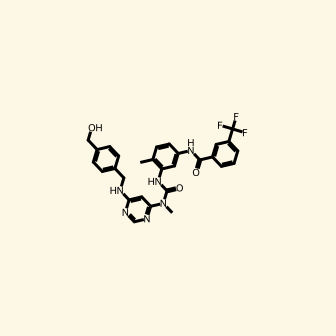 Cc1ccc(NC(=O)c2cccc(C(F)(F)F)c2)cc1NC(=O)N(C)c1cc(NCc2ccc(CO)cc2)ncn1